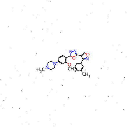 COc1cc(N2CCN(C)CC2)ccc1-c1nnc(-c2conc2-c2cccc(C)c2)o1